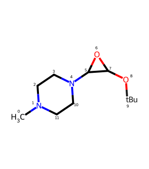 CN1CCN(C2OC2OC(C)(C)C)CC1